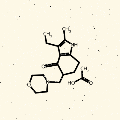 CC(=O)O.CCc1c(C)[nH]c2c1C(=O)C(CN1CCOCC1)CC2